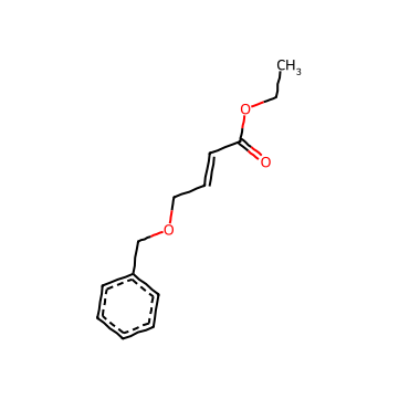 CCOC(=O)C=CCOCc1ccccc1